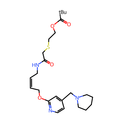 CC(C)(C)C(=O)OCCSCC(=O)NC/C=C\COc1cc(CN2CCCCC2)ccn1